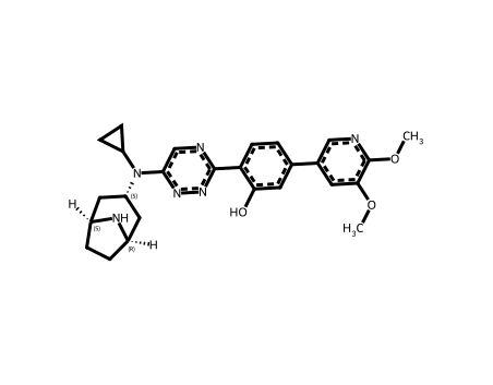 COc1cc(-c2ccc(-c3ncc(N(C4CC4)[C@@H]4C[C@H]5CC[C@@H](C4)N5)nn3)c(O)c2)cnc1OC